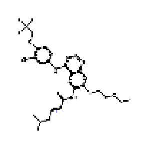 CCOCCOc1cc2ncnc(Nc3ccc(OCC(F)(F)F)c(Cl)c3)c2cc1NC(=O)/C=C/CN(C)C